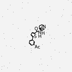 CC(=O)c1cccc(-c2ccc(C(=O)N[C@H]3CN4CCC3CC4)s2)c1